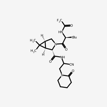 CC(C)(C)[C@H](NC(=O)C(F)(F)F)C(=O)N1C[C@H]2[C@@H]([C@H]1C(=O)NC(C#N)CN1CCCCC1=O)C2(C)C